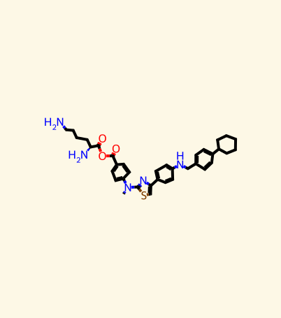 CN(c1ccc(C(=O)OC(=O)[C@@H](N)CCCCN)cc1)c1nc(-c2ccc(NCc3ccc(C4CCCCC4)cc3)cc2)cs1